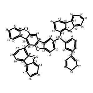 C1=CC(c2cccc(N(c3ccc4oc5c(-c6cccc7c6sc6ccccc67)c6c(cc5c4c3)oc3ccccc36)c3cccc4c3sc3ccccc34)c2)=CCC1